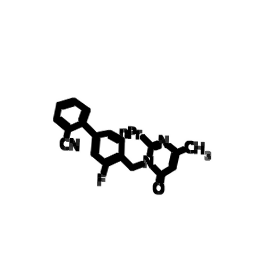 CCCc1nc(C)cc(=O)n1Cc1ccc(-c2ccccc2C#N)cc1F